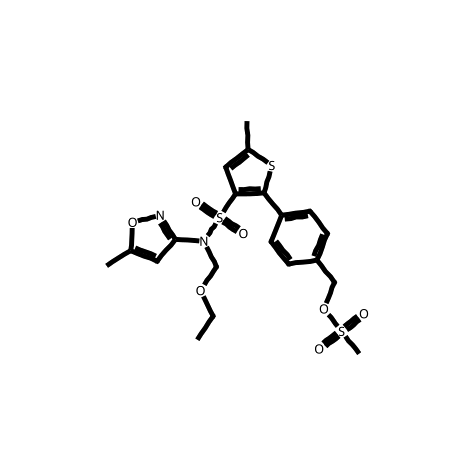 CCOCN(c1cc(C)on1)S(=O)(=O)c1cc(C)sc1-c1ccc(COS(C)(=O)=O)cc1